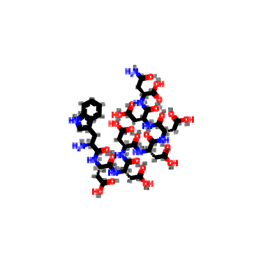 NC(=O)C[C@H](NC(=O)[C@H](CC(=O)O)NC(=O)[C@H](CC(=O)O)NC(=O)[C@H](CC(=O)O)NC(=O)[C@H](CC(=O)O)NC(=O)[C@H](CC(=O)O)NC(=O)[C@H](CC(=O)O)NC(=O)[C@@H](N)Cc1c[nH]c2ccccc12)C(=O)O